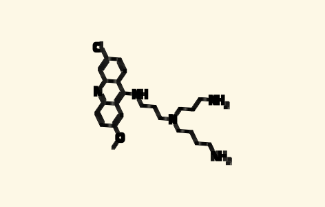 COc1ccc2c(c1)=C(NCCCN(CCCN)CCCCN)C1C=CC(Cl)=CC1N=2